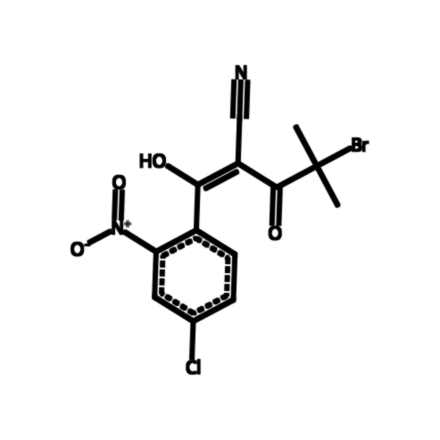 CC(C)(Br)C(=O)C(C#N)=C(O)c1ccc(Cl)cc1[N+](=O)[O-]